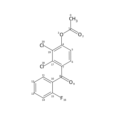 CC(=O)Oc1ccc(C(=O)c2ccccc2F)c(Cl)c1Cl